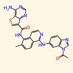 CC(=O)n1cnc2ccc(Nc3nccc4c(NC(=O)c5csc6c(N)ncnc56)c(C)ccc34)cc21